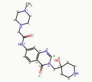 CN1CCN(CC(=O)Nc2ccc3c(=O)n(CC4(O)CCNCC4)cnc3c2)CC1